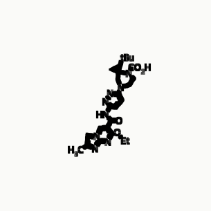 CCOc1nc2nc(C)cn2cc1C(=O)Nc1ccc(N2CCN(C(=O)O)C3(CC3C(C)(C)C)C2)nn1